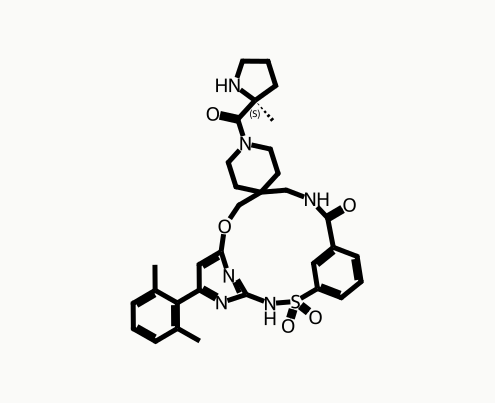 Cc1cccc(C)c1-c1cc2nc(n1)NS(=O)(=O)c1cccc(c1)C(=O)NCC1(CCN(C(=O)[C@]3(C)CCCN3)CC1)CO2